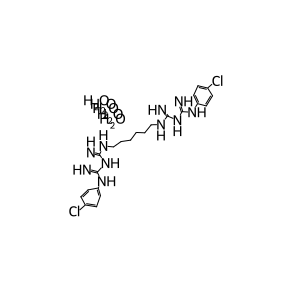 N=C(NCCCCCCNC(=N)NC(=N)Nc1ccc(Cl)cc1)NC(=N)Nc1ccc(Cl)cc1.O.O.O.O.O